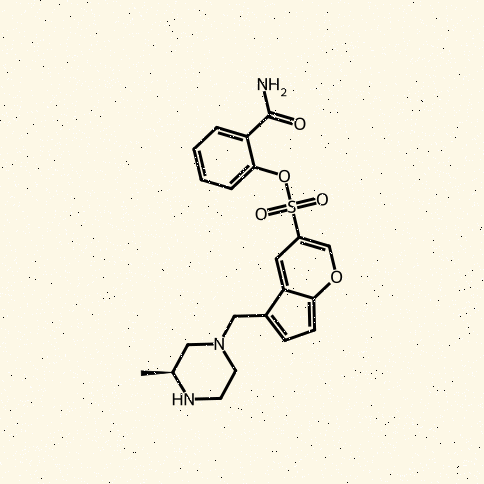 C[C@H]1CN(Cc2ccc3occ(S(=O)(=O)Oc4ccccc4C(N)=O)cc2-3)CCN1